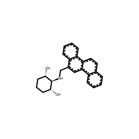 O[C@@H]1CCC[C@H](O)[C@H]1NCc1cc2c3ccccc3ccc2c2ccccc12